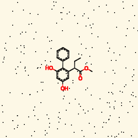 CCC(C(=O)OC)c1cc(O)cc(O)c1-c1ccccc1